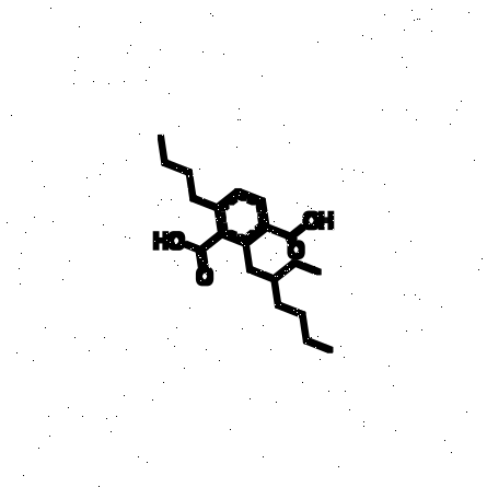 CCCCc1ccc(C(=O)O)c(CC(CC)CCCC)c1C(=O)O